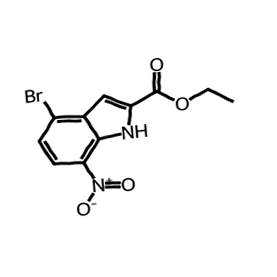 CCOC(=O)c1cc2c(Br)ccc([N+](=O)[O-])c2[nH]1